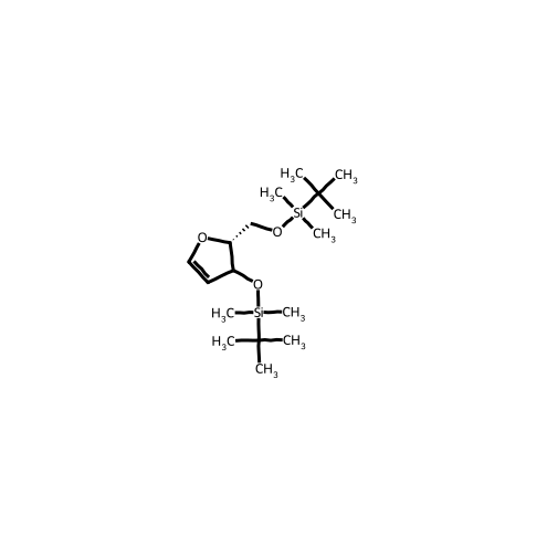 CC(C)(C)[Si](C)(C)OC[C@H]1OC=CC1O[Si](C)(C)C(C)(C)C